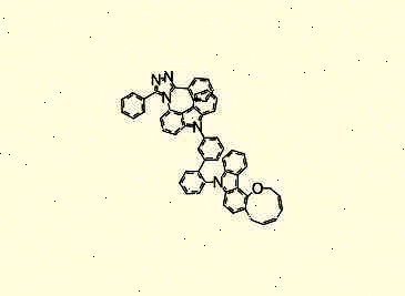 C1=C\COc2c(ccc3c2c2ccccc2n3-c2ccccc2-c2cccc(-n3c4ccccc4c4c(-n5c(-c6ccccc6)nnc5-c5ccccc5)cccc43)c2)C\C=C/1